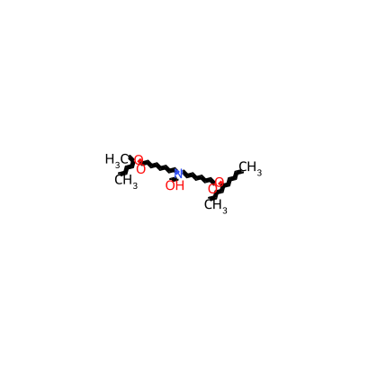 CCCCCCC(CCCCC)OC(=O)CCCCCCCN(CCO)CCCCCCCC(=O)OC(CC)CCCCC